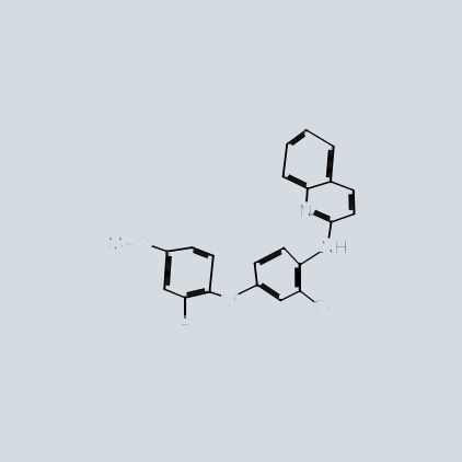 CCc1cc(Oc2ccc(OC)cc2F)ccc1Nc1ccc2ccccc2n1